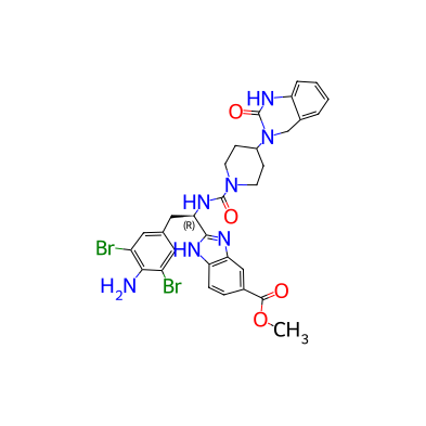 COC(=O)c1ccc2[nH]c([C@@H](Cc3cc(Br)c(N)c(Br)c3)NC(=O)N3CCC(N4Cc5ccccc5NC4=O)CC3)nc2c1